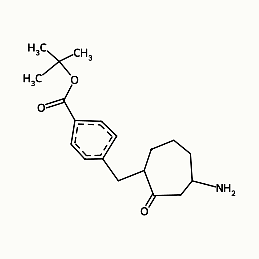 CC(C)(C)OC(=O)c1ccc(CC2CCCC(N)CC2=O)cc1